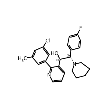 Cc1cc(Cl)cc(-c2ncccc2[C@@H](O)[C@H](c2ccc(F)cc2)N2CCCCC2)c1